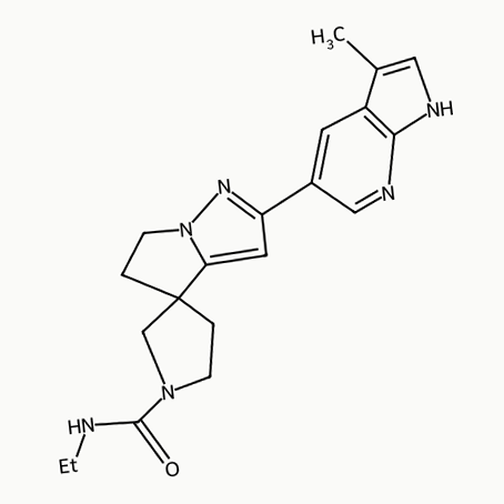 CCNC(=O)N1CCC2(CCn3nc(-c4cnc5[nH]cc(C)c5c4)cc32)C1